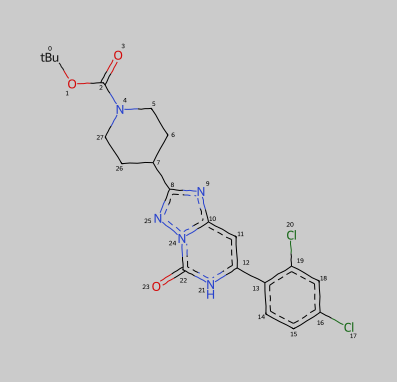 CC(C)(C)OC(=O)N1CCC(c2nc3cc(-c4ccc(Cl)cc4Cl)[nH]c(=O)n3n2)CC1